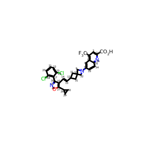 O=C(O)c1cc(C(F)(F)F)c2cc(N3CC4(CC(C=Cc5c(-c6c(Cl)cccc6Cl)noc5C5CC5)C4)C3)ccc2n1